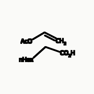 C=COC(C)=O.CCCCCCCC(=O)O